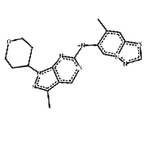 Cc1cc2ncnn2cc1Nc1ncc2c(C)nn(C3CCOCC3)c2n1